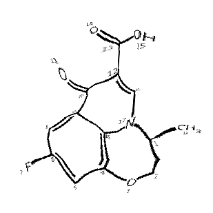 C[C@H]1COc2[c]c(F)cc3c(=O)c(C(=O)O)cn1c23